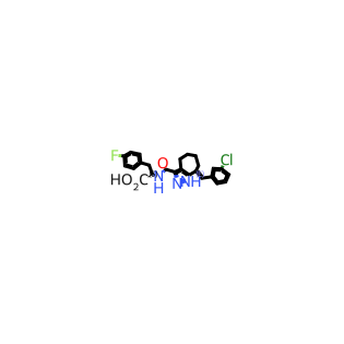 O=C(N[C@@H](Cc1ccc(F)cc1)C(=O)O)c1n[nH]c2c1CCCC/C2=C\c1cccc(Cl)c1